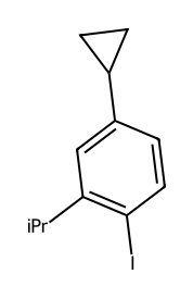 [CH2]C(C)c1cc(C2CC2)ccc1I